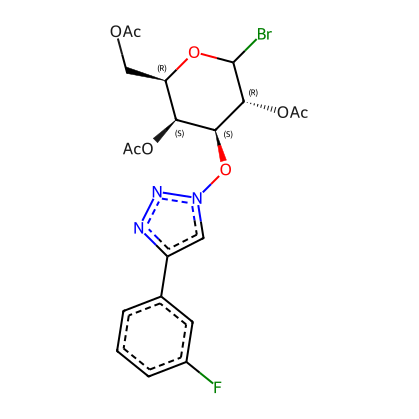 CC(=O)OC[C@H]1OC(Br)[C@H](OC(C)=O)[C@@H](On2cc(-c3cccc(F)c3)nn2)[C@H]1OC(C)=O